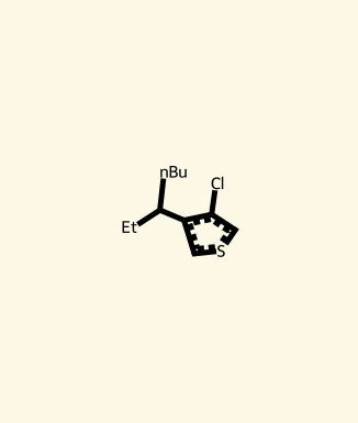 CCCCC(CC)c1cscc1Cl